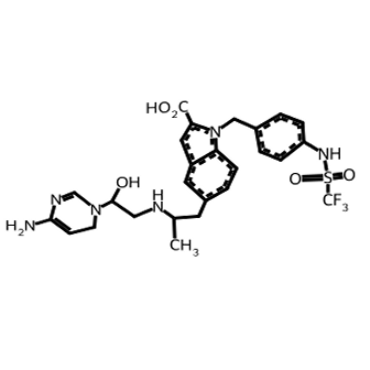 CC(Cc1ccc2c(c1)cc(C(=O)O)n2Cc1ccc(NS(=O)(=O)C(F)(F)F)cc1)NCC(O)N1C=NC(N)=CC1